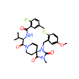 COc1ccc(F)c(CN2C(=O)N(C)C(=O)C23CCN(C(=O)[C@H](NC(=O)c2cc(C)ccc2F)C(C)C)CC3)c1